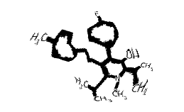 Cc1ccc(CCC2=C(C(C)C)N(C)C(C(C)C)C(O)=C2c2ccc(F)cc2)cc1